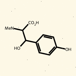 CNC(C(=O)O)C(O)c1ccc(O)cc1